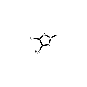 CC1OP(Cl)OC1C